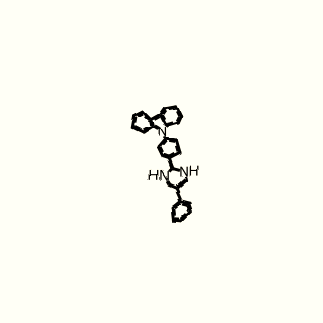 C1=C(c2ccccc2)CNC(c2ccc(-n3c4ccccc4c4ccccc43)cc2)N1